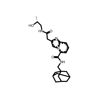 C[C@@H](O)CNC(=O)Cc1cn2c(C(=O)NCC34CC5CC(CC(C5)C3)C4)cccc2n1